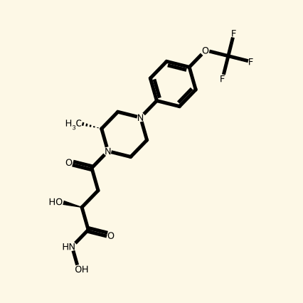 C[C@@H]1CN(c2ccc(OC(F)(F)F)cc2)CCN1C(=O)C[C@H](O)C(=O)NO